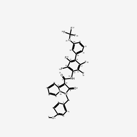 COc1ccc(Cn2c(=O)c(C(=O)Nc3c(F)c(F)c(-c4cccc(OC(F)(F)F)c4)c(F)c3F)c3ccccn32)cc1